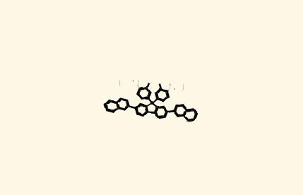 Cc1cc(C2(c3ccc(N)c(C)c3)c3cc(-c4ccc5ccccc5c4)ccc3-c3ccc(-c4ccc5ccccc5c4)cc32)ccc1N